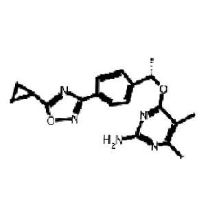 Cc1nc(N)nc(O[C@@H](C)c2ccc(-c3noc(C4CC4)n3)cc2)c1C